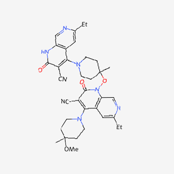 CCc1cc2c(N3CCC(C)(On4c(=O)c(C#N)c(N5CCC(C)(OC)CC5)c5cc(CC)ncc54)CC3)c(C#N)c(=O)[nH]c2cn1